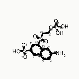 Nc1ccc2cc(S(=O)(=O)O)cc(S(=O)(=O)CCOP(=O)(O)O)c2c1